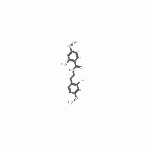 COc1ccc(CCNC(=O)c2ccc(N=O)cc2N)c(F)c1